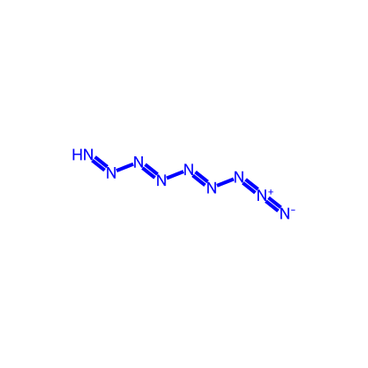 [N-]=[N+]=N/N=N/N=N/N=N